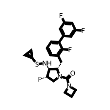 O=C(N1CCC1)N1C[C@H](F)[C@H](NSC2=CC2)[C@@H]1Cc1cccc(-c2cc(F)cc(F)c2)c1F